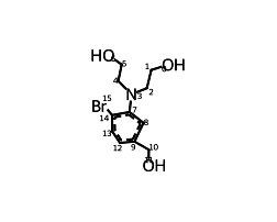 OCCN(CCO)c1cc(CO)ccc1Br